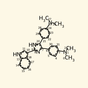 CN(C)c1ccc(-c2nc(-c3c[nH]c4ccccc34)[nH]c2-c2ccc(N(C)C)cc2)cc1